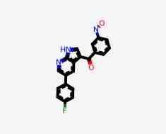 O=Nc1cccc(C(=O)c2c[nH]c3ncc(-c4ccc(F)cc4)cc23)c1